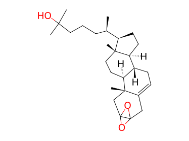 C[C@H](CCCC(C)(C)O)[C@H]1CC[C@H]2[C@@H]3CC=C4CC56OC5(C[C@]4(C)[C@H]3CC[C@]12C)O6